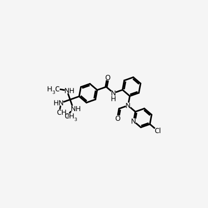 CNC(NC)(NC)c1ccc(C(=O)Nc2ccccc2N(C=O)c2ccc(Cl)cn2)cc1